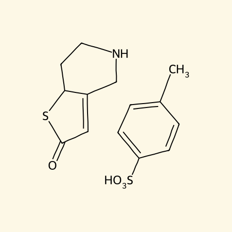 Cc1ccc(S(=O)(=O)O)cc1.O=C1C=C2CNCCC2S1